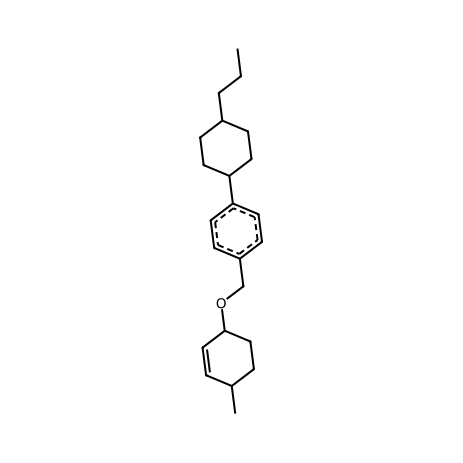 CCCC1CCC(c2ccc(COC3C=CC(C)CC3)cc2)CC1